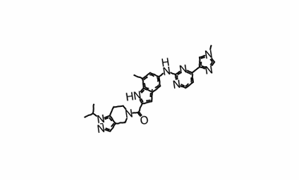 Cc1cc(Nc2nccc(-c3cn(C)cn3)n2)cc2cc(C(=O)N3CCc4c(cnn4C(C)C)C3)[nH]c12